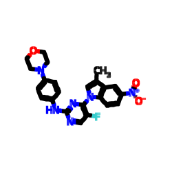 Cc1cn(-c2nc(Nc3ccc(N4CCOCC4)cc3)ncc2F)c2ccc([N+](=O)[O-])cc12